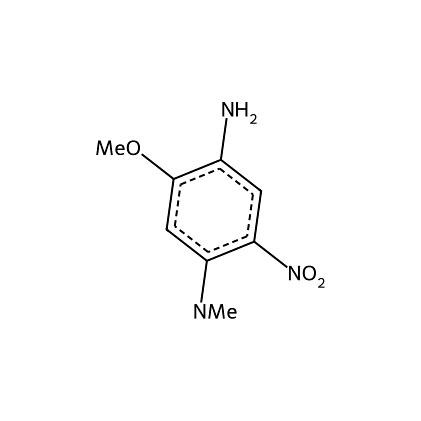 CNc1cc(OC)c(N)cc1[N+](=O)[O-]